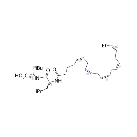 CC/C=C\C/C=C\C/C=C\C/C=C\C/C=C\CCCC(=O)N[C@@H](CC(C)C)C(=O)N[C@H](C(=O)O)[C@@H](C)CC